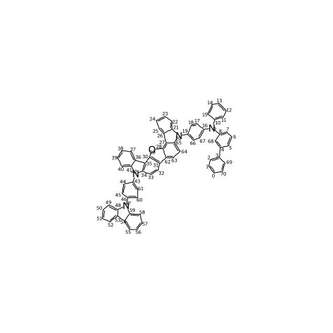 c1ccc(-c2cccc(N(c3ccccc3)c3ccc(-n4c5ccccc5c5c6oc7c(ccc8c7c7ccccc7n8-c7ccc(-n8c9ccccc9c9ccccc98)cc7)c6ccc54)cc3)c2)cc1